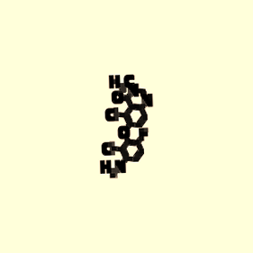 Cn1cnc2ccc(Oc3c(F)ccc(N)c3Cl)c(Cl)c2c1=O